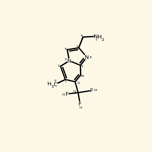 Cc1cn2cc(CN)nc2cc1C(F)(F)F